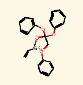 C=C[SiH2]OC(COc1ccccc1)(Oc1ccccc1)Oc1ccccc1